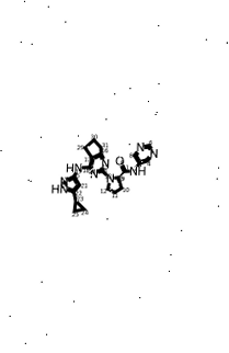 O=C(Nc1cncnc1)[C@H]1CCCN1c1nc2c(c(Nc3cc(C4CC4)[nH]n3)n1)CCC2